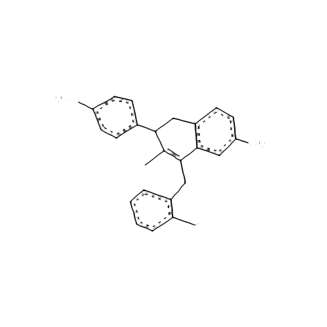 CCC1=C(Cc2ccccc2F)c2cc(OC)ccc2CC1c1ccc(OC)cc1